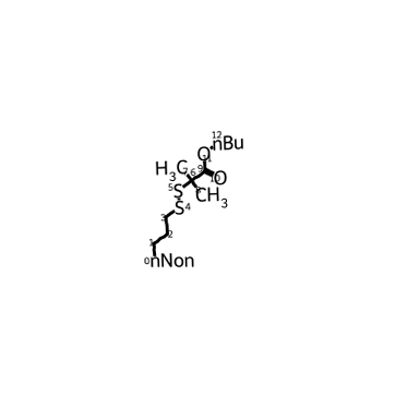 CCCCCCCCCCCCSSC(C)(C)C(=O)OCCCC